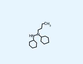 CCCCN(NC1CCCCC1)C1CCCCC1